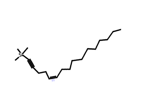 CCCCCCCCCC/C=C\CCC#C[Si](C)(C)C